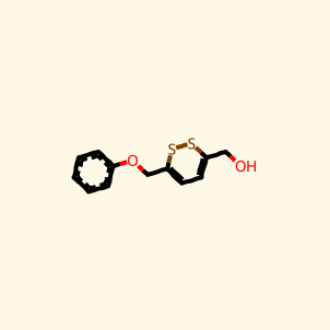 OCC1=CC=C(COc2ccccc2)SS1